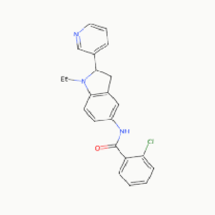 CCN1c2ccc(NC(=O)c3ccccc3Cl)cc2CC1c1cccnc1